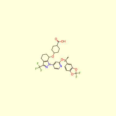 C[C@H](Oc1cc(-n2nc(C(F)(F)F)c3c2C(OC2CCC(C(=O)O)CC2)CCC3)ccn1)c1ccc2c(c1)OC(F)(F)O2